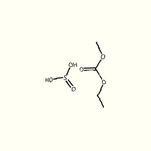 CCOC(=O)OC.O=S(O)O